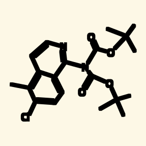 Cc1c(Cl)ccc2c(N(C(=O)OC(C)(C)C)C(=O)OC(C)(C)C)nccc12